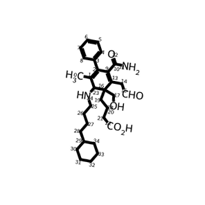 CC1=C(c2ccccc2)C(C(N)=O)=C(CC=O)C(CO)(CCCC(=O)O)C1NCCCCC1CCCCC1